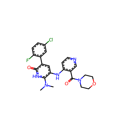 CN(C)c1[nH]c(=O)c(-c2cc(Cl)ccc2F)cc1Nc1ccncc1C(=O)N1CCOCC1